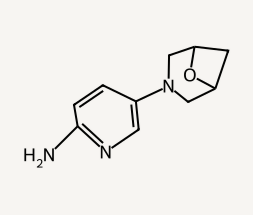 Nc1ccc(N2CC3CC(C2)O3)cn1